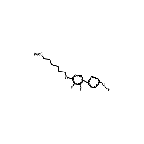 CCOc1ccc(-c2ccc(OCCCCCCOC)c(F)c2F)cc1